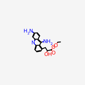 CCOOC(=O)C(O)Cc1cccc2nc3cc(N)ccc3c(N)c12